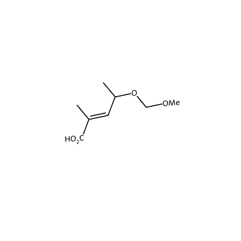 COCOC(C)C=C(C)C(=O)O